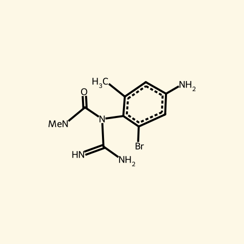 CNC(=O)N(C(=N)N)c1c(C)cc(N)cc1Br